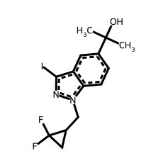 CC(C)(O)c1ccc2c(c1)c(I)nn2CC1CC1(F)F